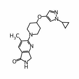 Cc1cc2c(nc1N1CCC(Oc3cnn(C4CC4)c3)CC1)CNC2=O